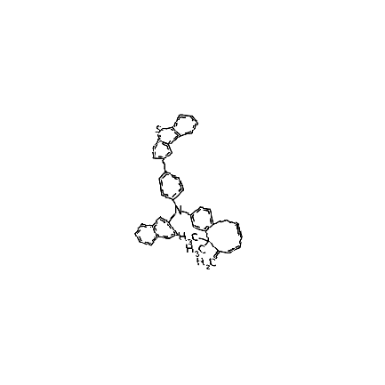 C=C1/C=C\C=C/Cc2ccc(N(c3ccc(-c4ccc5sc6ccccc6c5c4)cc3)c3ccc4ccccc4c3)cc2C1(C)C